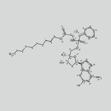 CCCCCCCCCCOC(=O)[C@H](C)NP(=O)(OC[C@@]1(C)O[C@@H](n2cnc3c(N)nc(F)nc32)C[C@@H]1O)Oc1ccccc1